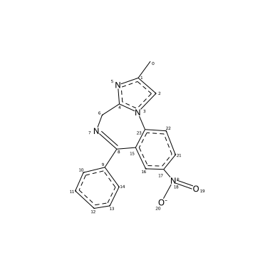 Cc1cn2c(n1)CN=C(c1ccccc1)c1cc([N+](=O)[O-])ccc1-2